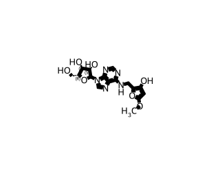 COc1cc(O)c(CNc2ncnc3c2ncn3C2O[C@H](CO)[C@@H](O)[C@@H]2O)o1